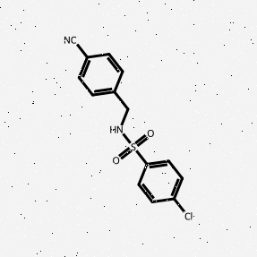 N#Cc1ccc(CNS(=O)(=O)c2ccc(Cl)cc2)cc1